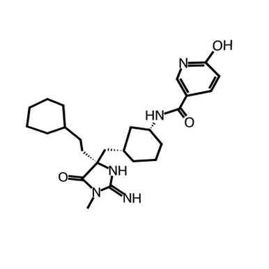 CN1C(=N)N[C@](CCC2CCCCC2)(C[C@H]2CCC[C@@H](NC(=O)c3ccc(O)nc3)C2)C1=O